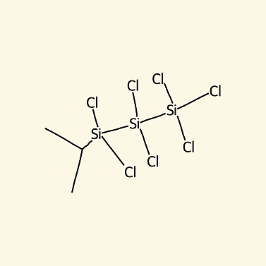 CC(C)[Si](Cl)(Cl)[Si](Cl)(Cl)[Si](Cl)(Cl)Cl